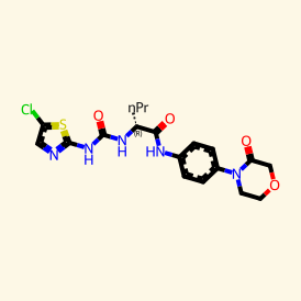 CCC[C@@H](NC(=O)Nc1ncc(Cl)s1)C(=O)Nc1ccc(N2CCOCC2=O)cc1